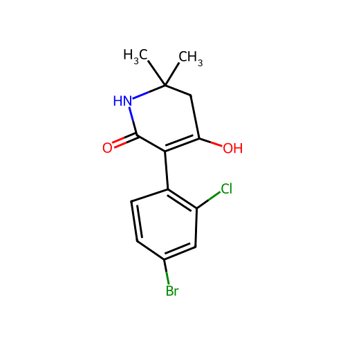 CC1(C)CC(O)=C(c2ccc(Br)cc2Cl)C(=O)N1